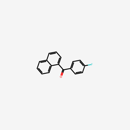 O=C(c1ccc(F)cc1)c1cccc2ccccc12